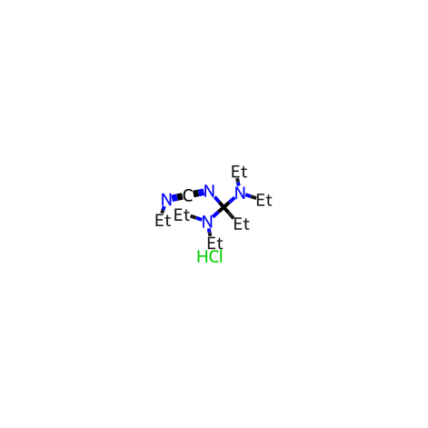 CCN=C=NC(CC)(N(CC)CC)N(CC)CC.Cl